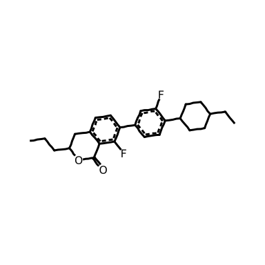 CCCC1Cc2ccc(-c3ccc(C4CCC(CC)CC4)c(F)c3)c(F)c2C(=O)O1